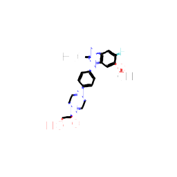 COc1cc2c(cc1F)nc(C)n2-c1ccc(N2CCN(C(=O)CO)CC2)cc1